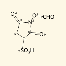 O=[C]ON1C(=O)CC(S(=O)(=O)O)C1=O